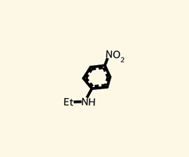 [CH2]CNc1ccc([N+](=O)[O-])cc1